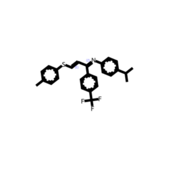 Cc1ccc(S/C=C/C(=N/c2ccc(C(C)C)cc2)c2ccc(C(F)(F)F)cc2)cc1